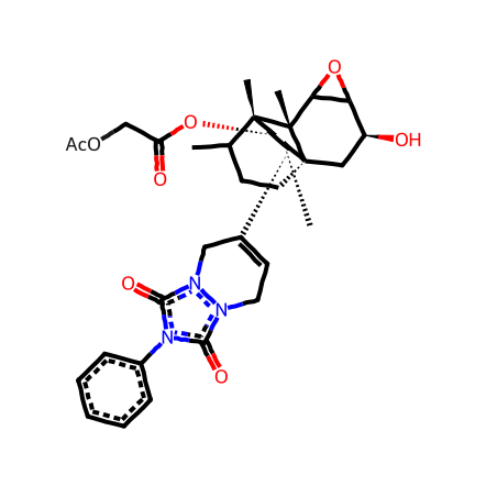 CC(=O)OCC(=O)O[C@@H]1C[C@@H](C2=CCn3c(=O)n(-c4ccccc4)c(=O)n3C2)[C@H](C)[C@@]23CCC(C)[C@]1(C)[C@]2(C)C1OC1[C@@H](O)C3